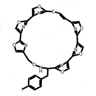 Ic1ccc(CC2NOCc3coc(n3)-c3coc(n3)-c3coc(n3)C/C=C/c3coc(n3)-c3coc(n3)-c3coc2n3)cc1